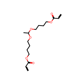 C=CC(=O)OCCCCOC(C)OCCCCOC(=O)C=C